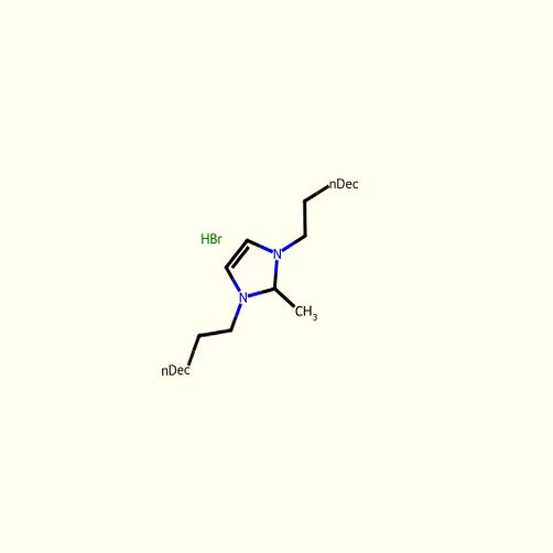 Br.CCCCCCCCCCCCN1C=CN(CCCCCCCCCCCC)C1C